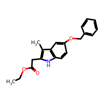 CCOC(=O)Cc1[nH]c2ccc(OCc3ccccc3)cc2c1C